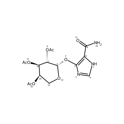 CC(=O)O[C@@H]1[C@H](Oc2nc[nH]c2C(N)=O)OC[C@@H](OC(C)=O)[C@H]1OC(C)=O